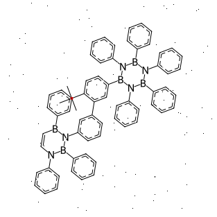 CC(C)(C)c1ccc(B2N(c3ccccc3)B(c3ccccc3)N(c3ccccc3)B(c3ccccc3)N2c2ccccc2)cc1-c1cccc(N2B(c3ccccc3)C=CN(c3ccccc3)B2c2ccccc2)c1